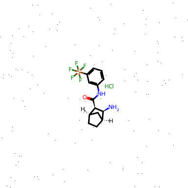 Cl.N[C@H]1[C@H]2CC[C@H](C2)[C@H]1C(=O)Nc1cccc(S(F)(F)(F)(F)F)c1